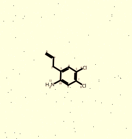 C=CCc1cc(Cl)c(Cl)cc1N